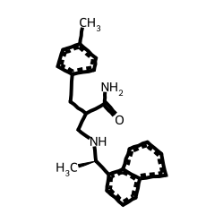 Cc1ccc(CC(CN[C@H](C)c2cccc3ccccc23)C(N)=O)cc1